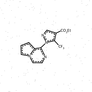 CCOC(=O)c1cnn(-c2nccn3cccc23)c1C(F)(F)F